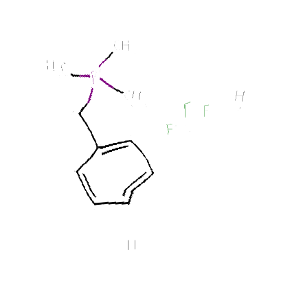 C[P+](C)(C)Cc1ccccc1.[F-].[F-].[F-].[H+].[H+]